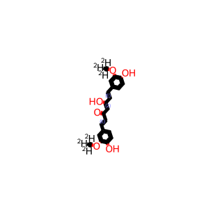 [2H]C([2H])([2H])Oc1cc(/C=C/C(=O)/C=C(O)/C=C/c2ccc(O)c(OC([2H])([2H])[2H])c2)ccc1O